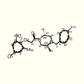 CC(=O)c1cc(Cl)cc([N+](=O)[O-])c1OCC(=O)N1C[C@H](C)N(Cc2ccc(F)cc2)C[C@H]1C